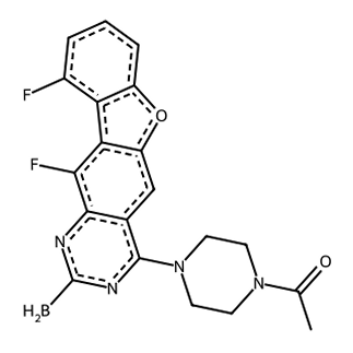 Bc1nc(N2CCN(C(C)=O)CC2)c2cc3oc4cccc(F)c4c3c(F)c2n1